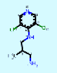 CC(CN)CNc1c(Cl)cncc1Cl